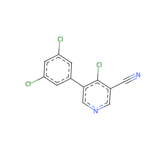 N#Cc1cncc(-c2cc(Cl)cc(Cl)c2)c1Cl